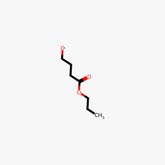 CCCOC(=O)CCC[O]